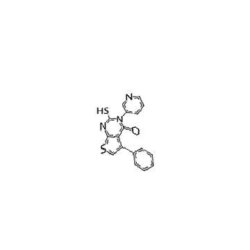 O=c1c2c(-c3ccccc3)csc2nc(S)n1-c1cccnc1